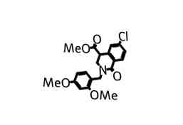 COC(=O)C1CN(Cc2ccc(OC)cc2OC)C(=O)c2ccc(Cl)cc21